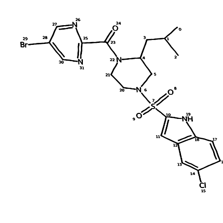 CC(C)CC1CN(S(=O)(=O)c2cc3cc(Cl)ccc3[nH]2)CCN1C(=O)c1ncc(Br)cn1